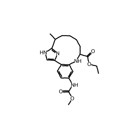 CCOC(=O)C1CCCCC(C)c2nc(c[nH]2)-c2ccc(NC(=O)OC)cc2N1